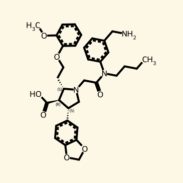 CCCCN(C(=O)CN1C[C@H](c2ccc3c(c2)OCO3)[C@@H](C(=O)O)[C@@H]1CCOc1ccccc1OC)c1cccc(CN)c1